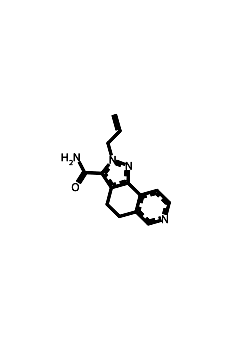 C=CCn1nc2c(c1C(N)=O)CCc1cnccc1-2